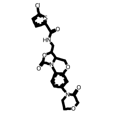 O=C(NCC1OC(=O)N2c3ccc(N4CCOCC4=O)cc3OCC12)c1ccc(Cl)s1